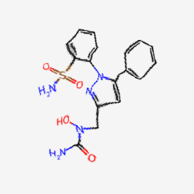 NC(=O)N(O)Cc1cc(-c2ccccc2)n(-c2ccccc2S(N)(=O)=O)n1